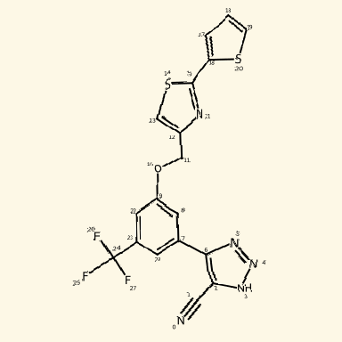 N#Cc1[nH]nnc1-c1cc(OCc2csc(-c3cccs3)n2)cc(C(F)(F)F)c1